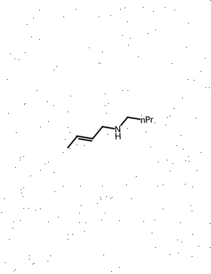 C/C=C/CNCCCC